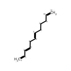 C=C/C=C/C/C=C/CCCC=C